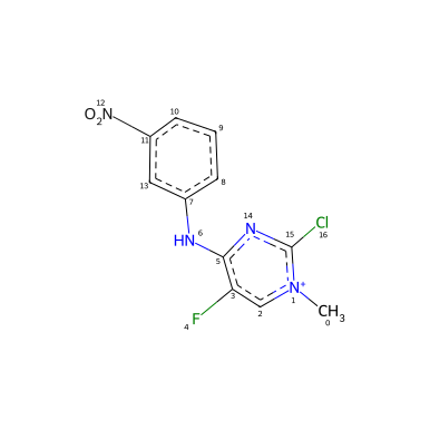 C[n+]1cc(F)c(Nc2cccc([N+](=O)[O-])c2)nc1Cl